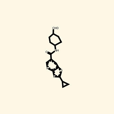 O=CC1CCC(NC(=O)c2cnc3nc(C4CC4)sc3c2)CC1